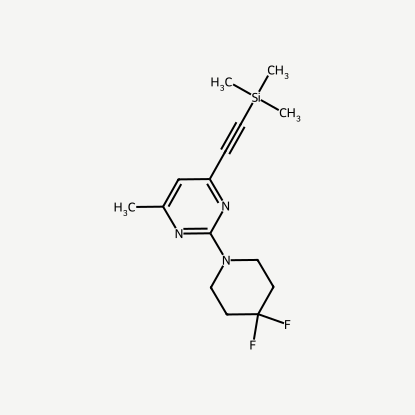 Cc1cc(C#C[Si](C)(C)C)nc(N2CCC(F)(F)CC2)n1